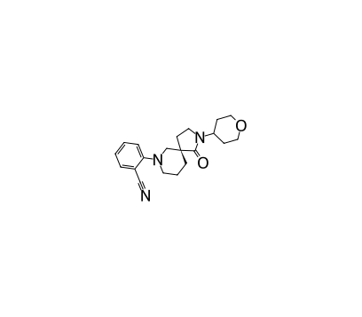 N#Cc1ccccc1N1CCC[C@]2(CCN(C3CCOCC3)C2=O)C1